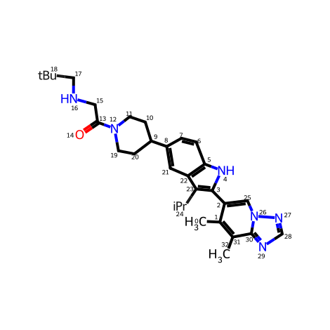 Cc1c(-c2[nH]c3ccc(C4CCN(C(=O)CNCC(C)(C)C)CC4)cc3c2C(C)C)cn2ncnc2c1C